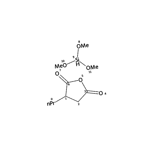 CCCC1CC(=O)OC1=O.CO[SiH](OC)OC